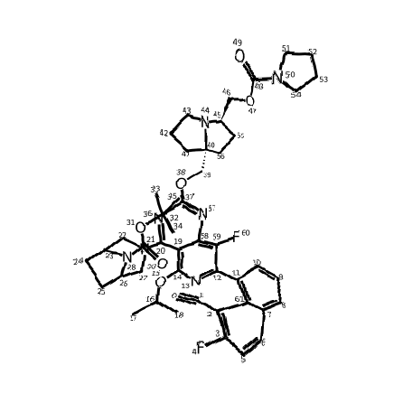 C#Cc1c(F)ccc2cccc(-c3nc(OC(C)C)c4c(N5CC6CCC(C5)N6C(=O)OC(C)(C)C)nc(OC[C@]56CCCN5[C@@H](COC(=O)N5CCCC5)CC6)nc4c3F)c12